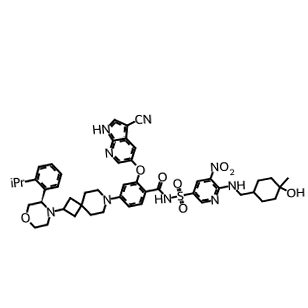 CC(C)c1ccccc1[C@@H]1COCCN1C1CC2(CCN(c3ccc(C(=O)NS(=O)(=O)c4cnc(NCC5CCC(C)(O)CC5)c([N+](=O)[O-])c4)c(Oc4cnc5[nH]cc(C#N)c5c4)c3)CC2)C1